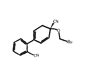 CCC(C)CO[C@]1(C#N)C=CC(c2ccccc2C#N)=CC1